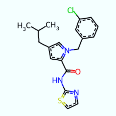 CC(C)Cc1cc(C(=O)Nc2nccs2)n(Cc2cccc(Cl)c2)c1